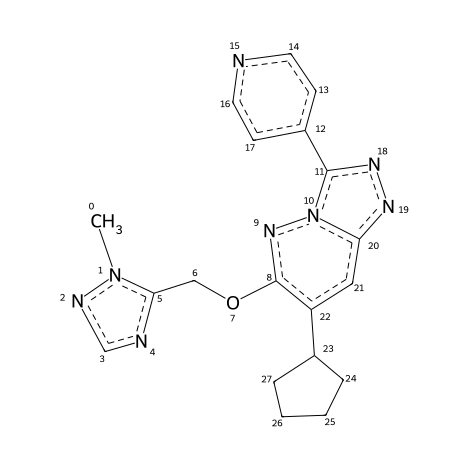 Cn1ncnc1COc1nn2c(-c3ccncc3)nnc2cc1C1CCCC1